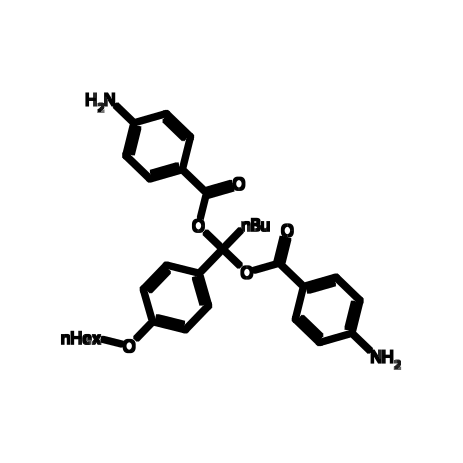 CCCCCCOc1ccc(C(CCCC)(OC(=O)c2ccc(N)cc2)OC(=O)c2ccc(N)cc2)cc1